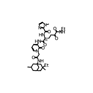 CCNC(=O)C(=O)CC[C@H](NC(=O)c1nccn1C)C(=O)Nc1cccn(CC(=O)NC23CC(C)CC(CC(C)(CC)C2)C3)c1=O